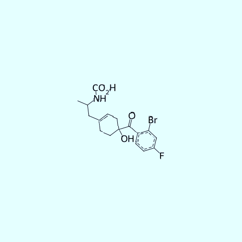 CC(CC1=CCC(O)(C(=O)c2ccc(F)cc2Br)CC1)NC(=O)O